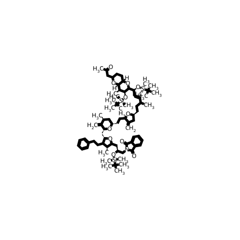 C=C1C[C@H](CCC(C)/C=C/[C@H](O[Si](C)(C)C(C)(C)C)C2O[C@H]3CCC(CC(C)=O)O[C@@H]3[C@H](C)[C@@H]2O[Si](C)(C)C(C)(C)C)OC1CC[C@H]1C[C@@H](C)C(=C)[C@@H](C[C@@H]2OC(C[C@@H](CN3C(=O)c4ccccc4C3=O)O[Si](C)(C)C(C)(C)C)[C@H](C)C2CCc2ccccc2)O1